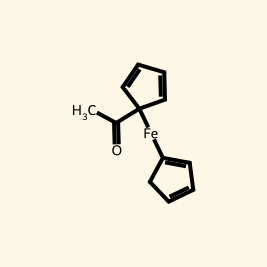 CC(=O)[C]1([Fe][C]2=CC=CC2)C=CC=C1